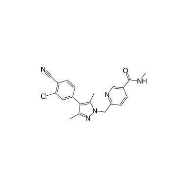 CNC(=O)c1ccc(Cn2nc(C)c(-c3ccc(C#N)c(Cl)c3)c2C)nc1